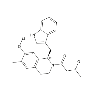 CCOc1cc2c(cc1C)CCN(C(=O)C[S+](C)[O-])[C@@H]2Cc1c[nH]c2ccccc12